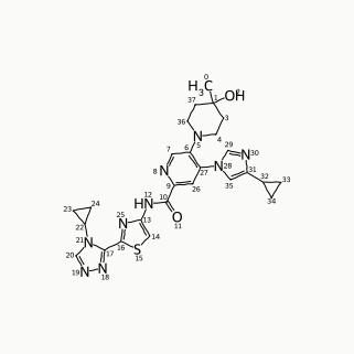 CC1(O)CCN(c2cnc(C(=O)Nc3csc(-c4nncn4C4CC4)n3)cc2-n2cnc(C3CC3)c2)CC1